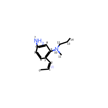 C/C=C\c1ccc(N)cc1N(C)CCC